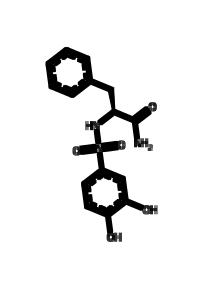 NC(=O)[C@H](Cc1ccccc1)NS(=O)(=O)c1ccc(O)c(O)c1